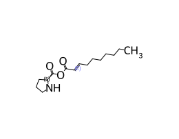 CCCCCCC/C=C/C(=O)OC(=O)[C@@H]1CCCN1